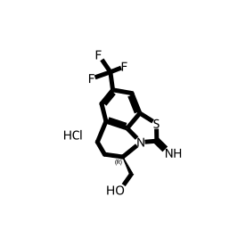 Cl.N=c1sc2cc(C(F)(F)F)cc3c2n1[C@@H](CO)CC3